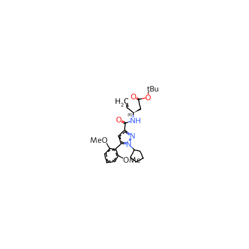 C=C[C@@H](CC(=O)OC(C)(C)C)NC(=O)c1cc(-c2c(OC)cccc2OC)n(C2CCCC2)n1